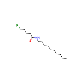 CCCCCCCCCCNC(=O)CCCCBr